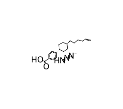 C=CCCCC[C@H]1CC[C@H](c2ccc(C(=O)O)cc2)CC1.[N-]=[N+]=N